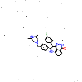 CC1CN(Cc2ccc(C3Nc4cccc5c(=O)[nH]nc(c45)C3c3ccc(F)cc3)cc2)CC(C)N1